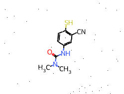 CN(C)C(=O)Nc1ccc(S)c(C#N)c1